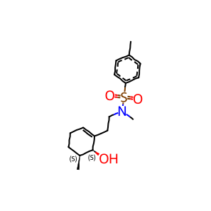 Cc1ccc(S(=O)(=O)N(C)CCC2=CCC[C@H](C)[C@@H]2O)cc1